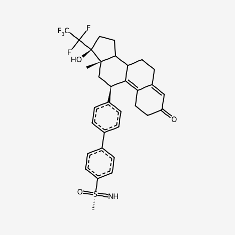 C[C@]12C[C@H](c3ccc(-c4ccc([S@@](C)(=N)=O)cc4)cc3)C3=C4CCC(=O)C=C4CCC3C1CC[C@@]2(O)C(F)(F)C(F)(F)F